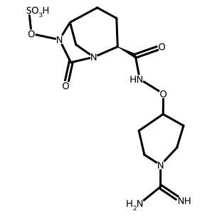 N=C(N)N1CCC(ONC(=O)[C@@H]2CCC3CN2C(=O)N3OS(=O)(=O)O)CC1